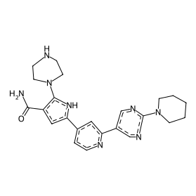 NC(=O)c1cc(-c2ccnc(-c3cnc(N4CCCCC4)nc3)c2)[nH]c1N1CCNCC1